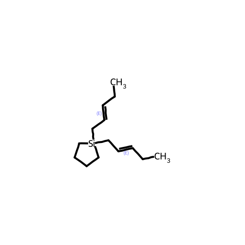 CC/C=C/C[Si]1(C/C=C/CC)CCCC1